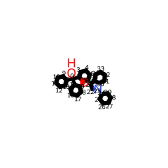 OC(c1ccccc1)(c1ccccc1)c1ccccc1Oc1cn(-c2ccccc2)c2ccccc12